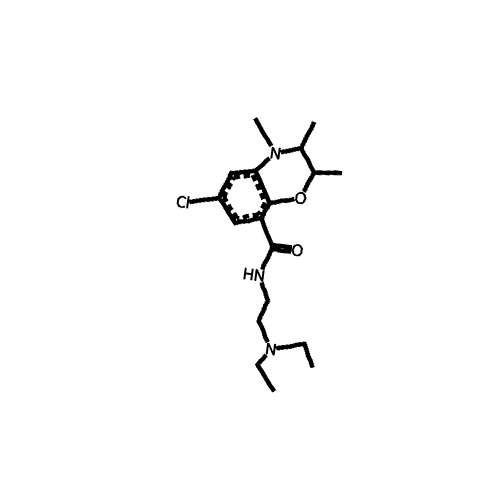 CCN(CC)CCNC(=O)c1cc(Cl)cc2c1OC(C)C(C)N2C